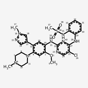 COc1cc(N2CCN(C)CC2)c(-c2cnn(C)c2)cc1Nc1ncc(Cl)c(Nc2ccccc2NS(C)(=O)=O)n1